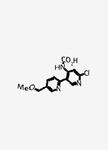 COCc1ccc(-c2cnc(Cl)cc2NC(=O)O)nc1